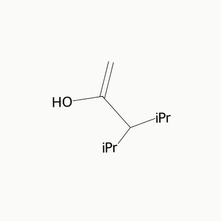 C=C(O)C(C(C)C)C(C)C